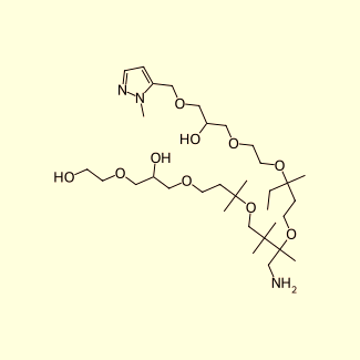 CCC(C)(CCOC(C)(CN)C(C)(C)COC(C)(C)CCOCC(O)COCCO)OCCOCC(O)COCc1ccnn1C